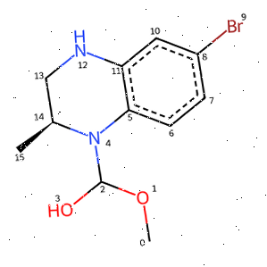 COC(O)N1c2ccc(Br)cc2NC[C@@H]1C